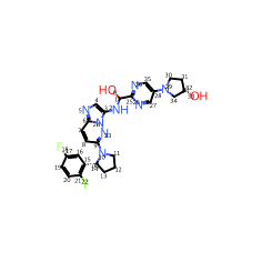 OC(Nc1cnc2ccc(N3CCC[C@@H]3c3cc(F)ccc3F)nn12)c1ncc(N2CC[C@H](O)C2)cn1